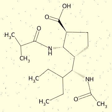 CCC(CC)[C@@H](NC(C)=O)[C@H]1CC[C@H](C(=O)O)[C@H]1NC(=O)C(C)C